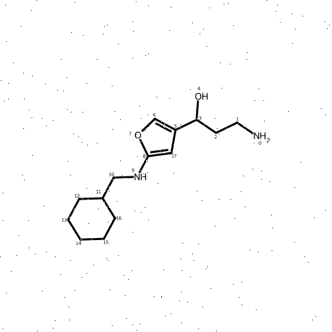 NCCC(O)c1coc(NCC2CCCCC2)c1